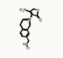 NC1=C(N2CCc3ccc(CNCl)cc3C2)C(=O)OC1